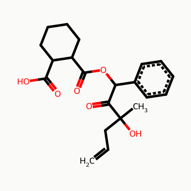 C=CCC(C)(O)C(=O)C(OC(=O)C1CCCCC1C(=O)O)c1ccccc1